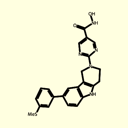 CSc1cccc(-c2ccc3[nH]c4c(c3c2)CN(c2ncc(C(=O)NO)cn2)CC4)c1